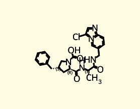 C[C@H](NC(=O)[C@H]1C[C@H](Cc2ccccc2)CN1C(=O)O)C(=O)NCc1ccc2ncc(Cl)n2c1